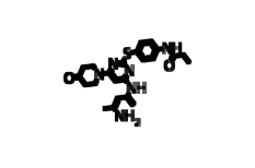 C=C(/C=C(/C)N)Nc1cc(N2CCC(=O)CC2)nc(Sc2ccc(NC(=O)CC)cc2)n1